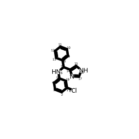 Clc1cccc(NC(c2ccccc2)c2c[nH]cn2)c1